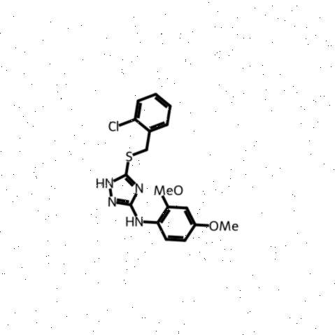 COc1ccc(Nc2n[nH]c(SCc3ccccc3Cl)n2)c(OC)c1